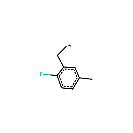 Cc1ccc(F)c(CC(C)C)c1